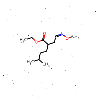 CCOC(=O)C(C/C=N\OC)CCC(C)C